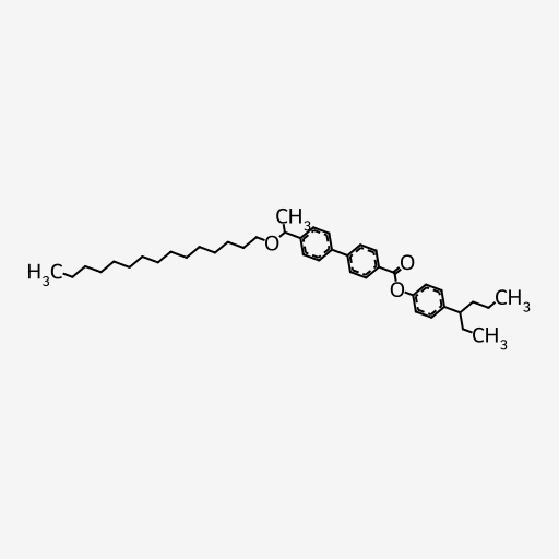 CCCCCCCCCCCCCCCOC(C)c1ccc(-c2ccc(C(=O)Oc3ccc(C(CC)CCC)cc3)cc2)cc1